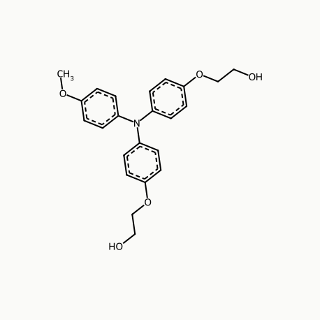 COc1ccc(N(c2ccc(OCCO)cc2)c2ccc(OCCO)cc2)cc1